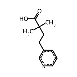 CC(C)(CCc1cccnc1)C(=O)O